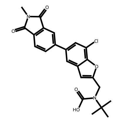 CN1C(=O)c2ccc(-c3cc(Cl)c4oc(CN(C(=O)O)C(C)(C)C)cc4c3)cc2C1=O